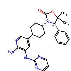 CC1(C)OC(=O)N([C@H]2CC[C@H](c3cnc(N)c(Nc4ncccn4)c3)CC2)[C@H]1c1ccccc1